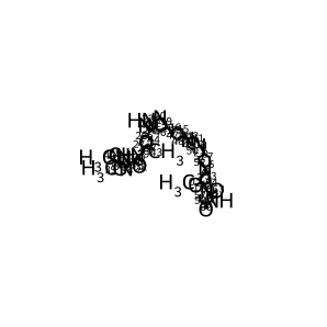 COc1cc(N2CCC(CN3CCN(c4ccc(-c5cnc6[nH]nc(-c7ccc(CNC(=O)c8noc(C(C)(C)C)n8)c(C)c7)c6c5)cc4)CC3)CC2)ccc1N1CCC(=O)NC1=O